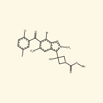 Cn1nc2c(Br)c(C(=O)c3cc(F)ccc3Cl)c([N+](=O)[O-])cc2c1C1(O)CN(C(=O)OC(C)(C)C)C1